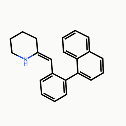 C(=C1CCCCN1)c1ccccc1-c1cccc2ccccc12